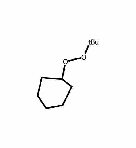 CC(C)(C)OOC1CCCCC1